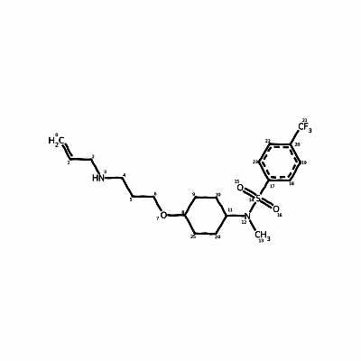 C=CCNCCCOC1CCC(N(C)S(=O)(=O)c2ccc(C(F)(F)F)cc2)CC1